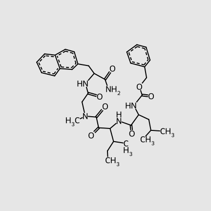 CCC(C)C(NC(=O)C(CC(C)C)NC(=O)OCc1ccccc1)C(=O)C(=O)N(C)CC(=O)NC(Cc1ccc2ccccc2c1)C(N)=O